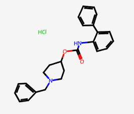 Cl.O=C(Nc1ccccc1-c1ccccc1)OC1CCN(Cc2ccccc2)CC1